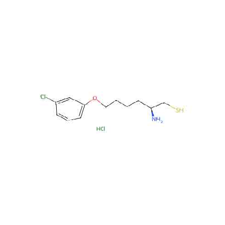 Cl.N[C@H](CS)CCCCOc1cccc(Cl)c1